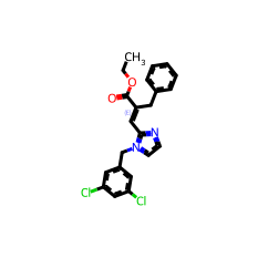 CCOC(=O)/C(=C/c1nccn1Cc1cc(Cl)cc(Cl)c1)Cc1ccccc1